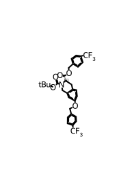 CC(C)(C)OC(=O)N1Cc2cc(OCc3ccc(C(F)(F)F)cc3)ccc2C[C@H]1C(=O)OCc1ccc(C(F)(F)F)cc1